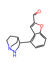 O=Cc1cc2c(C3CNN4CCC3CC4)cccc2o1